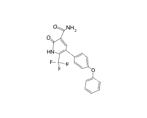 NC(=O)c1cc(-c2ccc(Oc3ccccc3)cc2)c(C(F)(F)F)[nH]c1=O